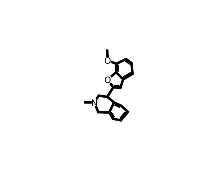 COc1cccc2cc(C3CN(C)Cc4ccccc43)oc12